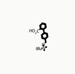 CC(C)(C)[Si](C)(C)OCc1ccc(-c2ccccc2C(=O)O)cc1